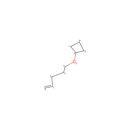 C=CCCCOC1CCC1